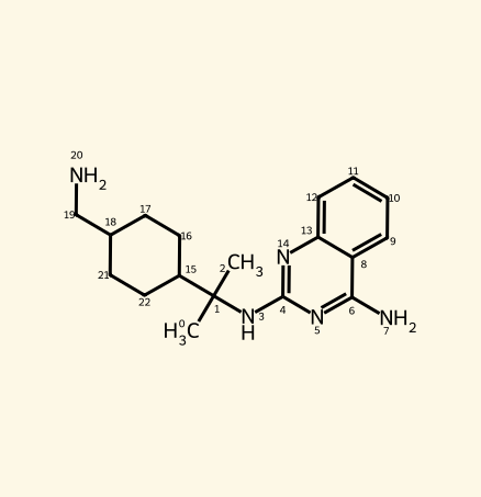 CC(C)(Nc1nc(N)c2ccccc2n1)C1CCC(CN)CC1